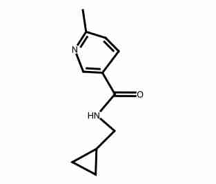 Cc1ccc(C(=O)NCC2CC2)cn1